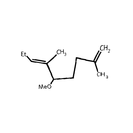 C=C(C)CCC(OC)C(C)=CCC